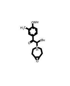 COc1ccc(C(=O)C([SH]2CCC3OC3CC2)C(C)(C)C)cc1C